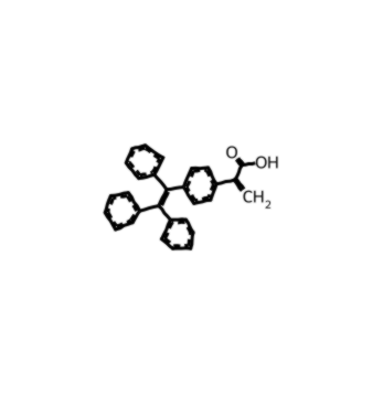 C=C(C(=O)O)c1ccc(C(=C(c2ccccc2)c2ccccc2)c2ccccc2)cc1